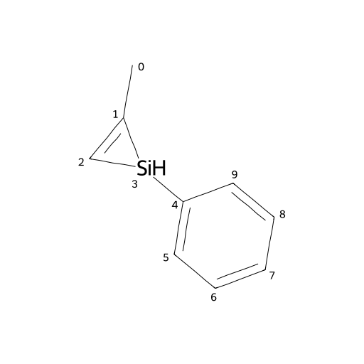 CC1=C[SiH]1c1ccccc1